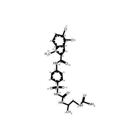 CC(CNC(N)=O)NC(=O)NS(=O)(=O)c1ccc(NC(=O)c2cc3c(Cl)c(Cl)ccc3n2C)cc1